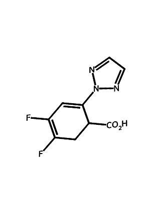 O=C(O)C1CC(F)=C(F)C=C1n1nccn1